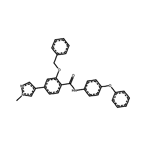 Cn1cc(-c2ccc(C(=O)Nc3ccc(Oc4ccccc4)cc3)c(OCc3ccccc3)c2)cn1